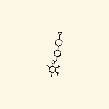 Cc1cc(C)c(OCC2=CCC(C3CCC(C4CC4)CC3)CC2)c(F)c1F